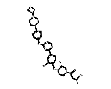 CC(O)CC(=O)N1CC[C@H](Oc2ccc(-c3ncnc(Nc4ccc(N5CCN(C6COC6)CC5)cc4)n3)cc2C#N)[C@H](F)C1